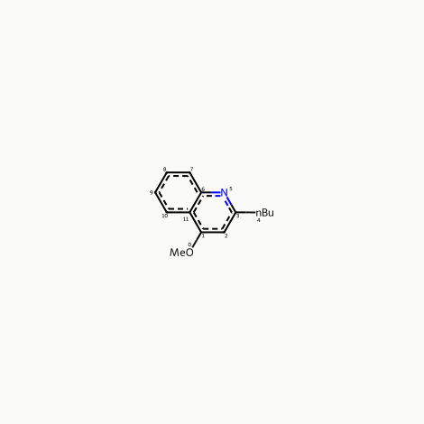 [CH2]Oc1cc(CCCC)nc2ccccc12